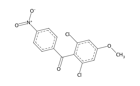 COc1cc(Cl)c(C(=O)c2ccc([N+](=O)[O-])cc2)c(Cl)c1